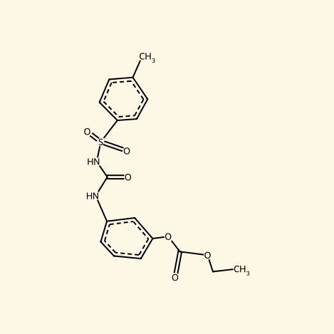 CCOC(=O)Oc1cccc(NC(=O)NS(=O)(=O)c2ccc(C)cc2)c1